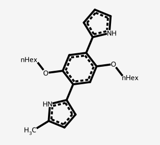 CCCCCCOc1cc(-c2ccc(C)[nH]2)c(OCCCCCC)cc1-c1ccc[nH]1